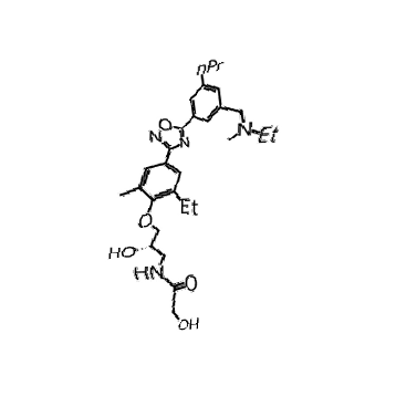 CCCc1cc(CN(C)CC)cc(-c2nc(-c3cc(C)c(OC[C@@H](O)CNC(=O)CO)c(CC)c3)no2)c1